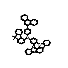 CC1(C)c2ccccc2-c2c(N(c3ccc(-c4cc5ccccc5c5ccccc45)cc3)c3ccc4c(c3)n3c5ccccc5c5ccc6c7ccccc7n4c6c53)cccc21